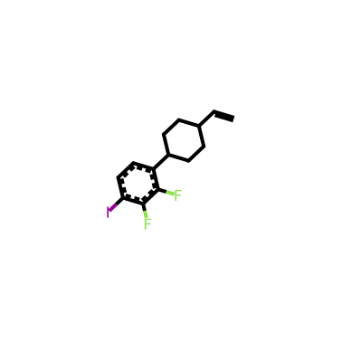 C=CC1CCC(c2ccc(I)c(F)c2F)CC1